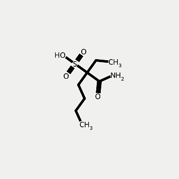 CCCCC(CC)(C(N)=O)S(=O)(=O)O